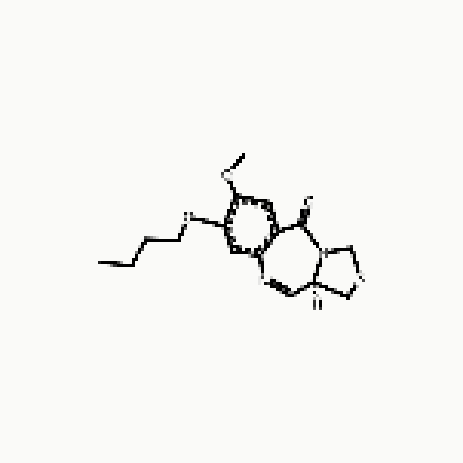 CCCCOc1cc2c(cc1OC)C(=O)N1CSC[C@H]1C=N2